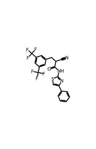 N#CC(Cc1cc(C(F)(F)F)cc(C(F)(F)F)c1)C(=O)Nc1nc(-c2ccccc2)cs1